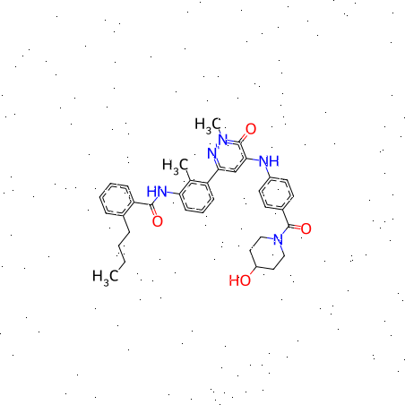 CCCCc1ccccc1C(=O)Nc1cccc(-c2cc(Nc3ccc(C(=O)N4CCC(O)CC4)cc3)c(=O)n(C)n2)c1C